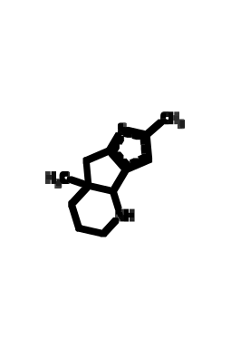 Cc1cc2c(s1)CC1(C)CCCNC21